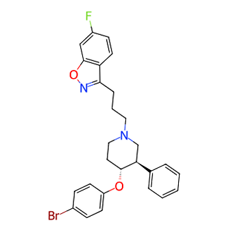 Fc1ccc2c(CCCN3CC[C@@H](Oc4ccc(Br)cc4)[C@H](c4ccccc4)C3)noc2c1